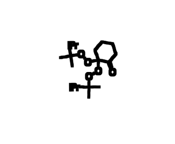 CC(C)C(C)(C)OOC1(OOC(C)(C)C(C)C)CCCCC1=O